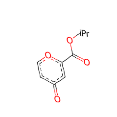 CC(C)OC(=O)c1cc(=O)cco1